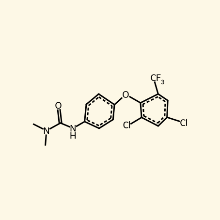 CN(C)C(=O)Nc1ccc(Oc2c(Cl)cc(Cl)cc2C(F)(F)F)cc1